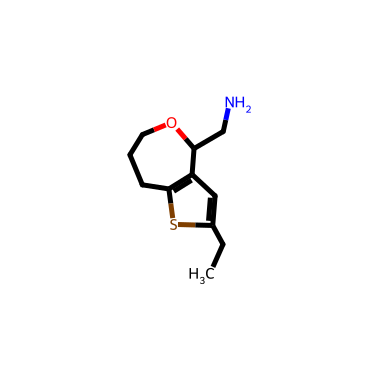 CCc1cc2c(s1)CCCOC2CN